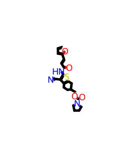 N#Cc1c(NC(=O)C=Cc2ccco2)sc2c1CCC(COC(=O)N1CCCC1)C2